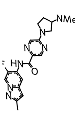 CNC1CCN(c2cnc(C(=O)Nc3cc4cc(C)nn4cc3F)cn2)C1